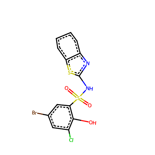 O=S(=O)(Nc1nc2ccccc2s1)c1cc(Br)cc(Cl)c1O